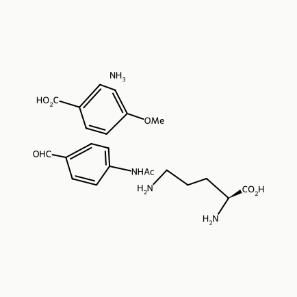 CC(=O)Nc1ccc(C=O)cc1.COc1ccc(C(=O)O)cc1.N.NCCC[C@H](N)C(=O)O